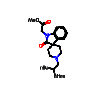 CCCCCCC(CCCC)CN1CCC2(CC1)C(=O)N(CC(=O)OC)c1ccccc12